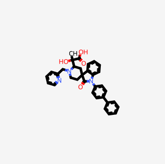 CC(O)(C(=O)O)C1CC2(CCN1Cc1ccccn1)C(=O)N(c1ccc(-c3ccccc3)cc1)c1ccccc12